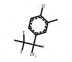 Cc1cc(C(F)(C(C)(F)F)C(F)(F)F)ccc1Cl